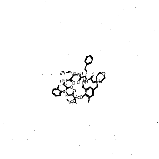 CC(=O)Oc1c(C)cc(C[N+]2(CC(=O)N[C@@H](CCc3ccccc3)C(=O)N[C@@H](CC(C)C)C(=O)N[C@@H](Cc3ccccc3)C(=O)N[C@@H](CC(C)C)C(=O)[C@@]3(C)CO3)CCOCC2)cc1C=N